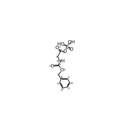 O=C(CNC(=O)OCc1ccccc1)OP(=O)(O)O